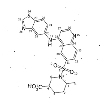 CC1CCC(C(=O)O)CN1S(=O)(=O)c1ccc2nccc(Nc3ccc4scnc4c3)c2c1